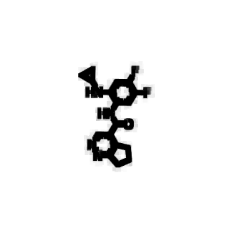 O=C(Nc1cc(F)c(F)cc1NC1CC1)c1cnnc2c1CCC2